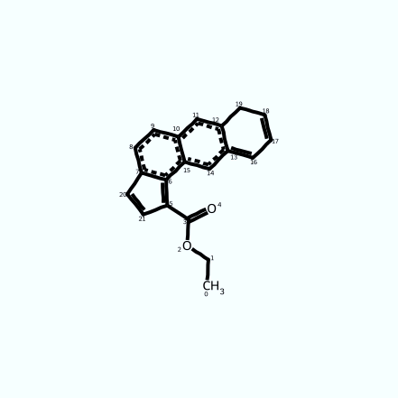 CCOC(=O)C1=c2c(ccc3cc4c(cc23)=CC=CC4)C=C1